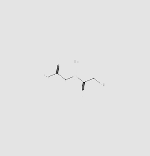 Br.NCC(=O)NCC(N)=O